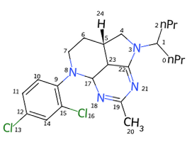 CCCC(CCC)N1C[C@H]2CCN(c3ccc(Cl)cc3Cl)C3N=C(C)N=C1C32